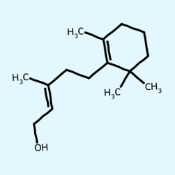 CC(=CCO)CCC1=C(C)CCCC1(C)C